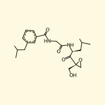 CC(C)Cc1cccc(C(=O)NCC(=O)N[C@@H](CC(C)C)C(=O)[C@@]2(CO)CO2)c1